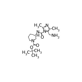 Cc1nc(C)n(C(=O)NC2CCCN(C(=O)OC(C)(C)C)C2)c1CN